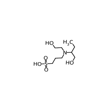 CCC(CO)N(CCO)CCCS(=O)(=O)O